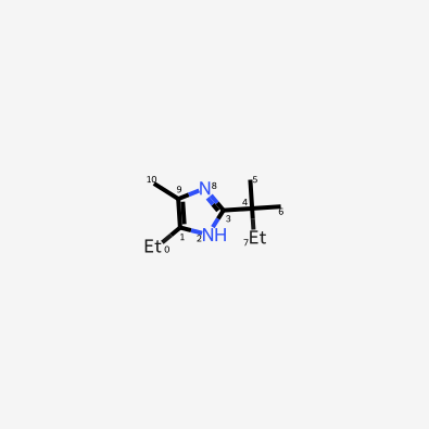 CCc1[nH]c(C(C)(C)CC)nc1C